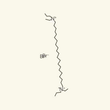 CCC[N+](C)(CC)CCCCCCCCCCCCCCCCCCCCC[N+](C)(CC)CCC.[Br-].[Br-]